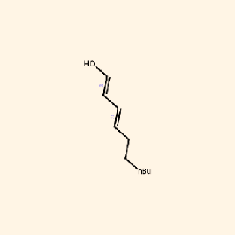 CCCCCC/C=C/C=C/O